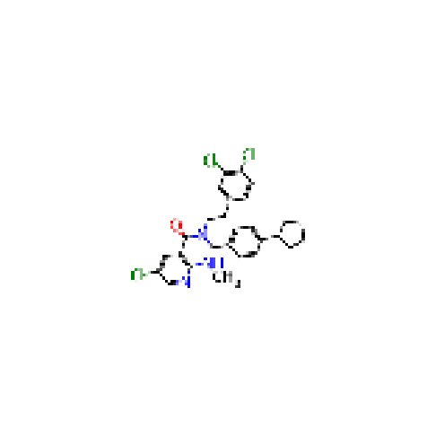 CNc1ncc(Cl)cc1C(=O)N(CCc1ccc(Cl)c(Cl)c1)Cc1ccc(C2CCCC2)cc1